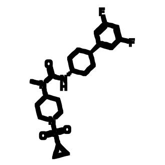 CN(C(=O)N[C@H]1CC[C@H](c2cc(F)cc(F)c2)CC1)C1CCN(S(=O)(=O)C2CC2)CC1